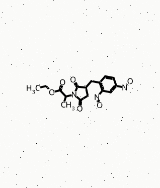 CCOC(=O)C(C)N1C(=O)CC(Cc2ccc(N=O)cc2N=O)C1=O